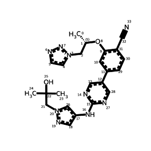 C[C@@H](Cn1ccnn1)Oc1cc(-c2cnc(Nc3cnn(CC(C)(C)O)c3)nc2)ccc1C#N